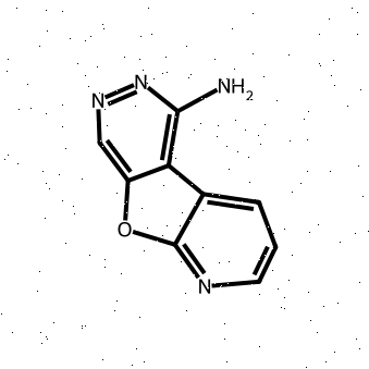 Nc1nncc2oc3ncccc3c12